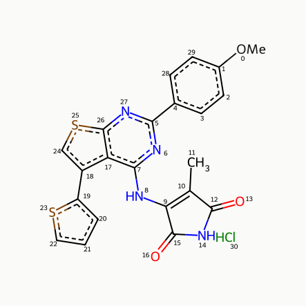 COc1ccc(-c2nc(NC3=C(C)C(=O)NC3=O)c3c(-c4cccs4)csc3n2)cc1.Cl